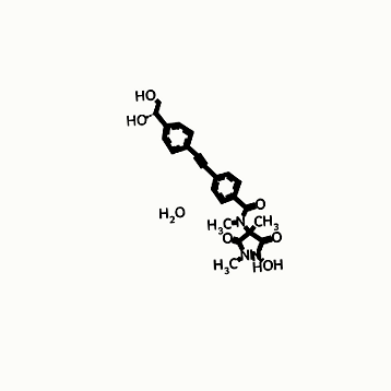 CNC(=O)C(C)(C(=O)NO)N(C)C(=O)c1ccc(C#Cc2ccc([C@H](O)CO)cc2)cc1.O